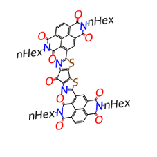 CCCCCCN1C(=O)c2ccc3c4c(c(-c5nc6c(s5)-c5sc(-c7cc8c9c(ccc%10c9c7C(=O)N(CCCCCC)C%10=O)C(=O)N(CCCCCC)C8=O)nc5C6=O)cc(c24)C1=O)C(=O)N(CCCCCC)C3=O